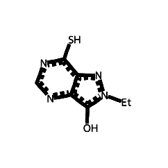 CCn1nc2c(S)ncnc2c1O